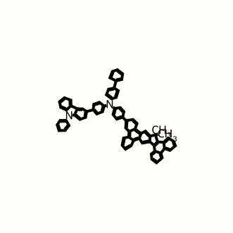 CC1(C)c2cc3c4ccc(-c5ccc(N(c6ccc(-c7ccccc7)cc6)c6ccc(-c7ccc8c(c7)c7ccccc7n8-c7ccccc7)cc6)cc5)cc4c4ccccc4c3cc2-c2c1c1ccccc1c1ccccc21